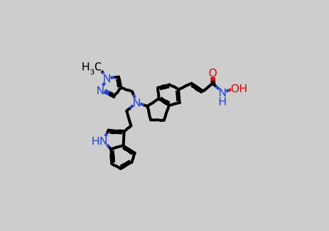 Cn1cc(CN(CCc2c[nH]c3ccccc23)C2CCc3cc(C=CC(=O)NO)ccc32)cn1